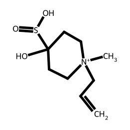 C=CC[N+]1(C)CCC(O)(S(=O)O)CC1